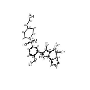 CCCn1c(=O)n2cnnc2c2[nH]c(-c3cc(S(=O)(=O)N4CCN(CCO)CC4)ccc3OCC)c(Br)c21